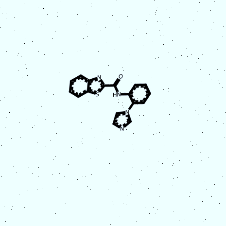 O=C(Nc1ccccc1-n1ccnc1)c1nc2ccccc2s1